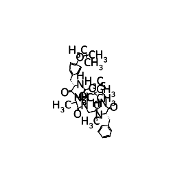 CSCCNC(=O)[C@H](Cc1ccccc1)N(C)C(=O)CNC(=O)[C@@H](C)NC(=O)[C@H](Cc1ccc(OC(C)(C)C)cc1)NC(=O)OC(C)(C)C